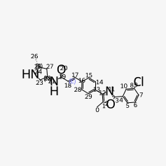 Cc1oc(-c2cccc(Cl)c2)nc1-c1ccc(/C=C/C(=O)N[C@H]2CN[C@H](C)C2)cc1